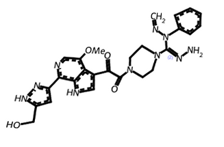 C=NN(/C(=N\N)N1CCN(C(=O)C(=O)c2c[nH]c3c(-c4cc(CO)[nH]n4)ncc(OC)c23)CC1)c1ccccc1